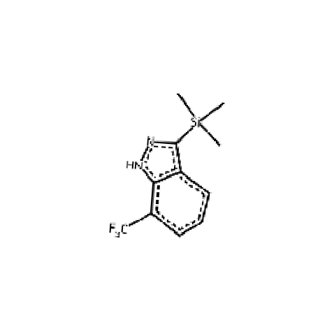 C[Si](C)(C)c1n[nH]c2c(C(F)(F)F)cccc12